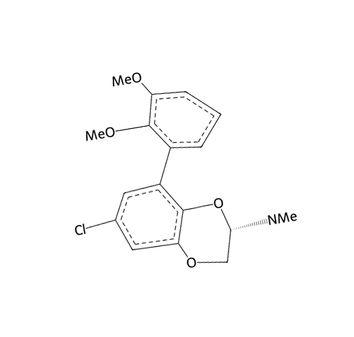 CN[C@@H]1COc2cc(Cl)cc(-c3cccc(OC)c3OC)c2O1